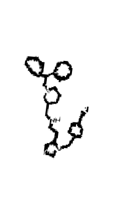 N#Cc1ccc(Cn2cncc2CCNCC2CCCN(CC(c3ccccc3)c3ccccc3)C2)cc1